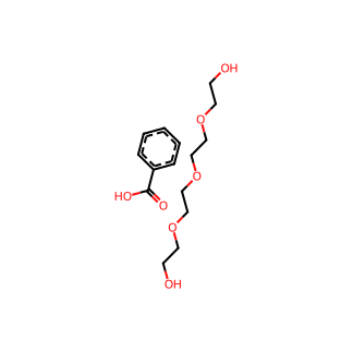 O=C(O)c1ccccc1.OCCOCCOCCOCCO